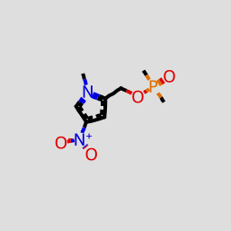 Cn1cc([N+](=O)[O-])cc1COP(C)(C)=O